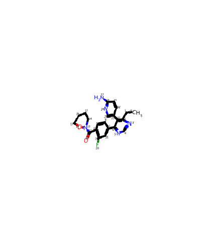 CCc1ncnc(-c2ccc(C(=O)N3CCCCO3)c(F)c2)c1-c1ccc(N)nc1